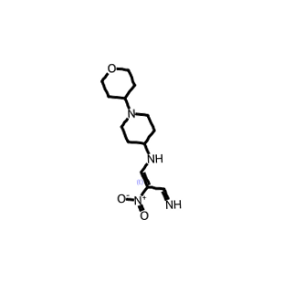 N=C/C(=C\NC1CCN(C2CCOCC2)CC1)[N+](=O)[O-]